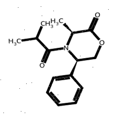 CC(C)C(=O)N1[C@@H](C)C(=O)OC[C@H]1c1ccccc1